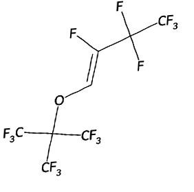 FC(=COC(C(F)(F)F)(C(F)(F)F)C(F)(F)F)C(F)(F)C(F)(F)F